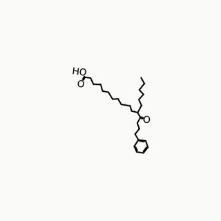 CCCCCCC(CCCCCCCCCCC(=O)O)C(=O)CCCc1ccccc1